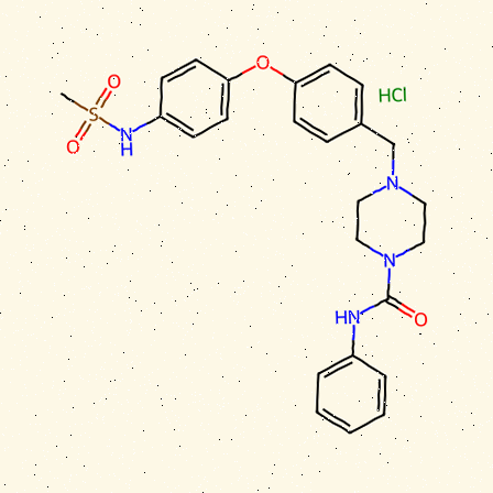 CS(=O)(=O)Nc1ccc(Oc2ccc(CN3CCN(C(=O)Nc4ccccc4)CC3)cc2)cc1.Cl